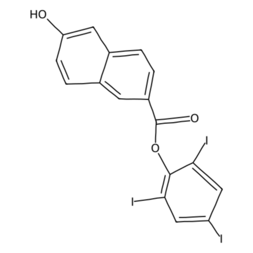 O=C(Oc1c(I)cc(I)cc1I)c1ccc2cc(O)ccc2c1